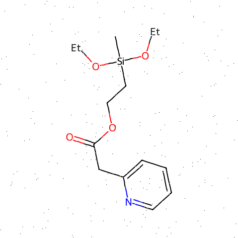 CCO[Si](C)(CCOC(=O)Cc1ccccn1)OCC